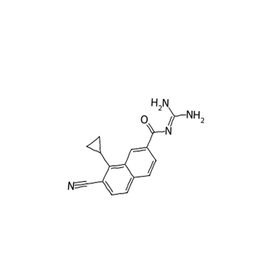 N#Cc1ccc2ccc(C(=O)N=C(N)N)cc2c1C1CC1